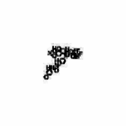 COc1ccc(NC(=O)NCc2ccc([C@H]3C[C@@]4(C)[C@@H](CC[C@@]4(O)C(F)(F)C(F)(F)F)[C@@H]4CC[C@@]5(O)CC6(CCC5=C43)OCC(C)(C)CO6)cc2)cc1